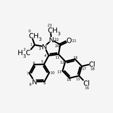 CC(C)n1c(-c2ccncc2)c(-c2ccc(Cl)c(Cl)c2)c(=O)n1C